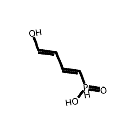 O=[PH](O)C=CC=CO